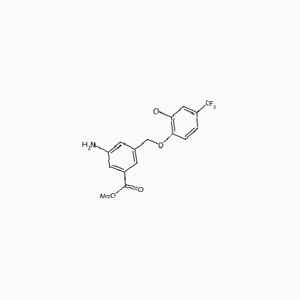 COC(=O)c1cc(N)cc(COc2ccc(C(F)(F)F)cc2Cl)c1